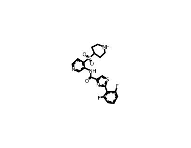 O=C(Nc1cnccc1S(=O)(=O)C1CCNCC1)c1csc(-c2c(F)cccc2F)n1